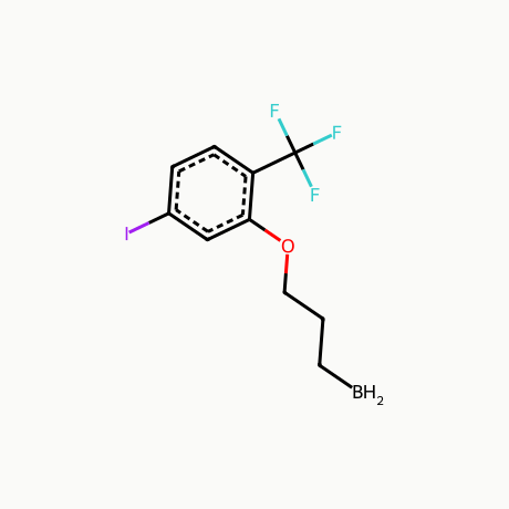 BCCCOc1cc(I)ccc1C(F)(F)F